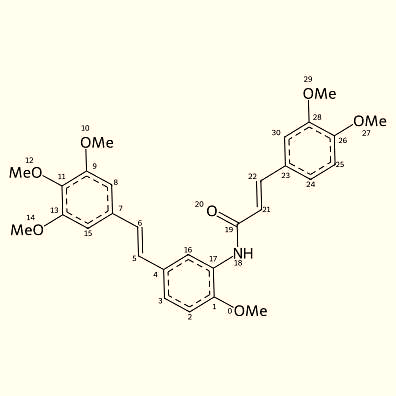 COc1ccc(/C=C/c2cc(OC)c(OC)c(OC)c2)cc1NC(=O)/C=C/c1ccc(OC)c(OC)c1